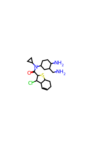 NCC1CC(N(C(=O)C2SC3CCC=CC3C2Cl)C2CC2)CCC1N